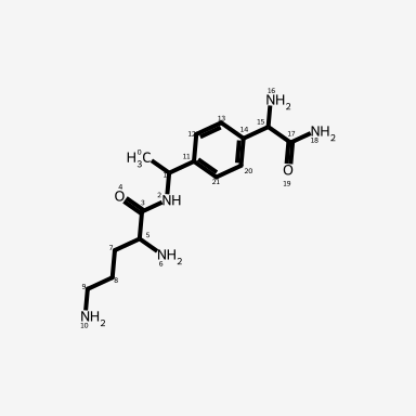 CC(NC(=O)C(N)CCCN)c1ccc(C(N)C(N)=O)cc1